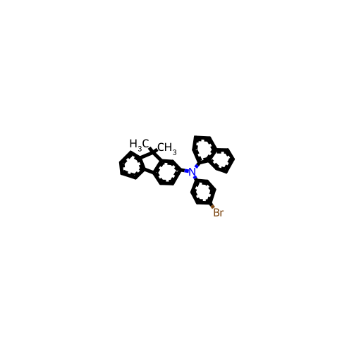 CC1(C)c2ccccc2-c2ccc(N(c3ccc(Br)cc3)c3cccc4ccccc34)cc21